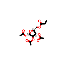 CCC(=O)OC[C@H]1O[C@@H](OC(C)=O)C(OC(C)=O)[C@H]1OC(C)=O